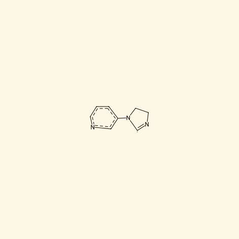 [C]1=NCCN1c1cccnc1